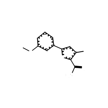 CSc1cccc(-c2cc(C)c(C(N)=O)s2)c1